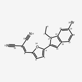 CCn1c(-c2ccc(C=C(C#N)C#N)o2)cc2ccc(Br)cc21